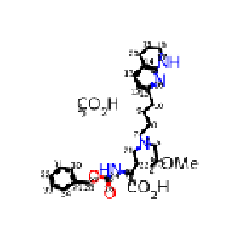 CC(=O)O.CO[C@H](C)CN(CCCCc1ccc2c(n1)NCCC2)CC[C@H](NC(=O)OCc1ccccc1)C(=O)O